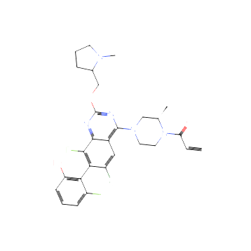 C=CC(=O)N1C[C@H](C)N(c2nc(OCC3CCCN3C)nc3c(F)c(-c4c(O)cccc4F)c(Cl)cc23)C[C@H]1C